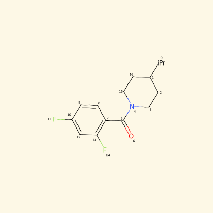 CC(C)C1CCN(C(=O)c2ccc(F)cc2F)CC1